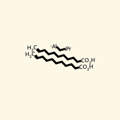 C=CCCCCCCCCC(=O)O.C=CCCCCCCCCC(=O)O.CC(C)[CH2][Al]